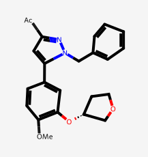 COc1ccc(-c2cc(C(C)=O)nn2Cc2ccccc2)cc1O[C@@H]1CCOC1